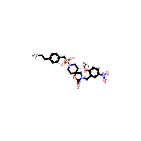 CCCc1ccc(CS(=O)(=O)N2CCC3(CC2)CN(Cc2cc([N+](=O)[O-])ccc2OC)C(=O)O3)cc1